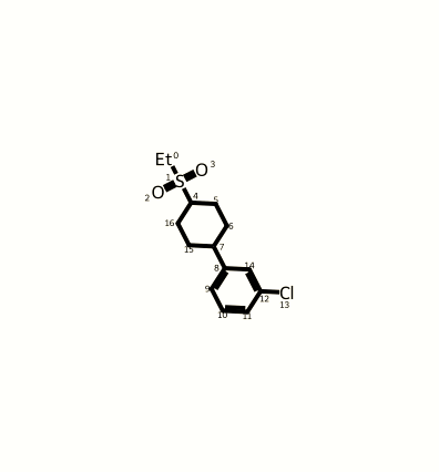 CCS(=O)(=O)C1CCC(c2cccc(Cl)c2)CC1